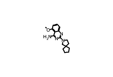 COc1cccc2nc(N3CCC4(CCCC4)C3)nc(N)c12